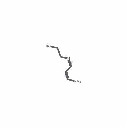 CCC(C)CC/N=C\C=C/NC